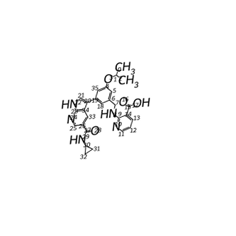 CC(C)Oc1cc(CNc2ncccc2C(=O)O)cc(-c2c[nH]c3ncc(C(=O)NC4CC4)cc23)c1